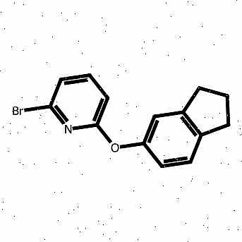 Brc1cccc(Oc2ccc3c(c2)CCC3)n1